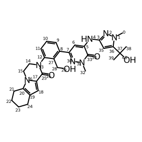 Cn1nc(Nc2cc(-c3cccc(N4CCn5c(cc6c5CCCC6)C4=O)c3CO)nn(C)c2=O)cc1C(C)(C)O